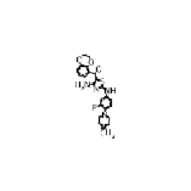 CN1CCN(c2ccc(Nc3nc(N)c(C(=O)c4cccc5c4OCCO5)s3)cc2F)CC1